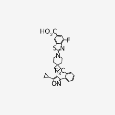 O=C(O)c1cc(F)c2nc(N3CCC4(CC3)CC(c3c(-c5ccccc5C(F)(F)F)noc3C3CC3)C4)sc2c1